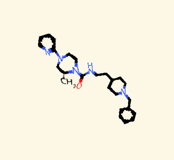 C[C@@H]1CN(c2ccccn2)CCN1C(=O)NCCC1CCN(Cc2ccccc2)CC1